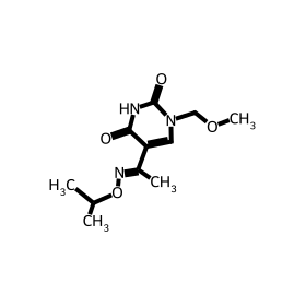 COCn1cc(/C(C)=N/OC(C)C)c(=O)[nH]c1=O